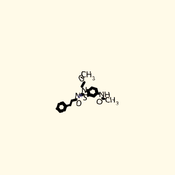 COCCn1/c(=N/C(=O)CCc2ccccc2)sc2cc(NC(C)=O)ccc21